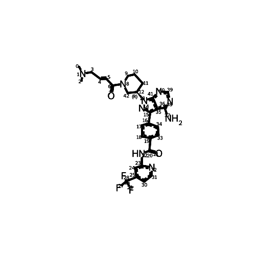 CN(C)CC=CC(=O)N1CCC[C@@H](n2nc(-c3ccc(C(=O)Nc4cc(C(F)(F)F)ccn4)cc3)c3c(N)ncnc32)C1